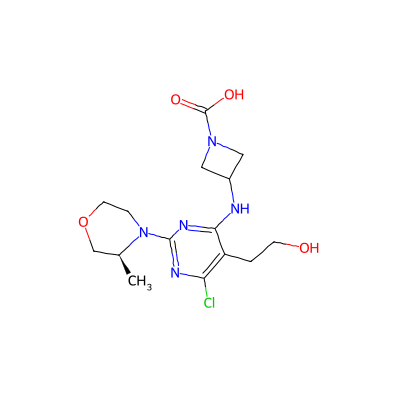 C[C@H]1COCCN1c1nc(Cl)c(CCO)c(NC2CN(C(=O)O)C2)n1